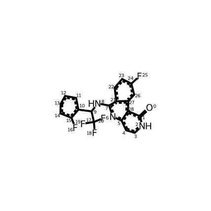 O=c1[nH]ccc2nc(NC(c3ccccc3F)C(F)(F)F)c3ccc(F)cc3c12